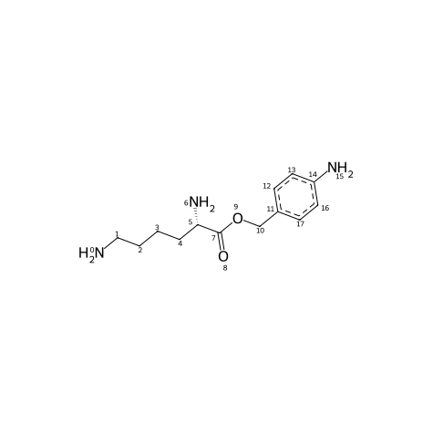 NCCCC[C@H](N)C(=O)OCc1ccc(N)cc1